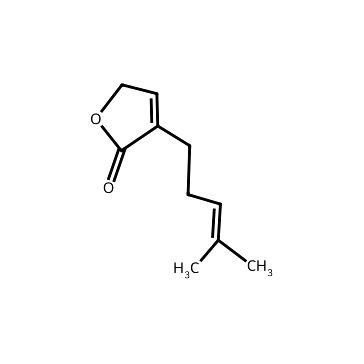 CC(C)=CCCC1=CCOC1=O